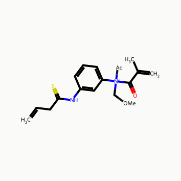 C=CCC(=S)Nc1cccc([N+](COC)(C(C)=O)C(=O)C(=C)C)c1